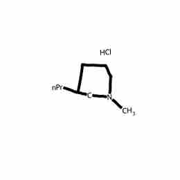 CCCC1CCCN(C)C1.Cl